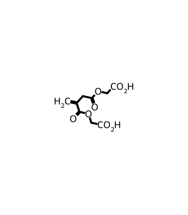 C=C(CC(=O)OCC(=O)O)C(=O)OCC(=O)O